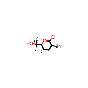 CC(C)C1CCC(C(C)(C)O)OC1O